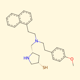 COc1ccc(CCN(CCc2cccc3ccccc23)C[C@@H]2C[C@H](S)CN2)cc1